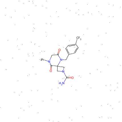 CC(C)N1CC(=O)N(Cc2ccc(C(F)(F)F)cc2)C2(CN(C(N)=O)C2)C1=O